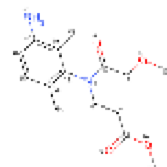 COCC(=O)N(CCC(=O)OC)c1c(C)ccc(N)c1C